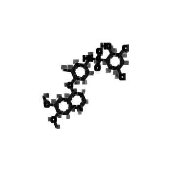 COc1cc2nccc(Oc3ccc(NS(=O)(=O)c4cc(Cl)cc(Cl)c4O)cc3C)c2cc1OC